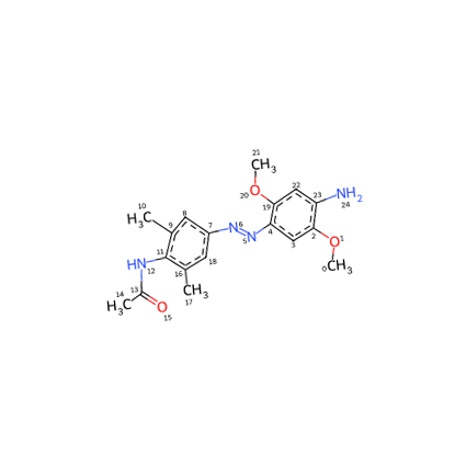 COc1cc(/N=N/c2cc(C)c(NC(C)=O)c(C)c2)c(OC)cc1N